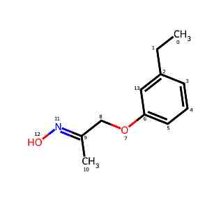 CCc1cccc(OC/C(C)=N/O)c1